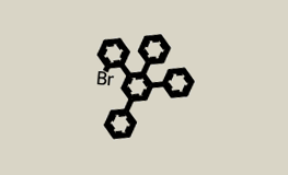 Brc1ccccc1-c1cc(-c2ccccc2)cc(-c2ccccc2)c1-c1ccccc1